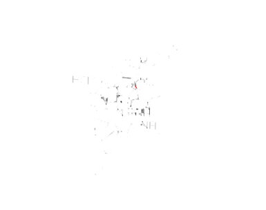 CCCCCOc1ccc(-c2cccn2C(c2ccccc2Cl)N2C=CC=C(N)C2(N)C(c2ccccc2Cl)n2cccc2-c2ccc(OCCCCC)cc2)cc1.Cl